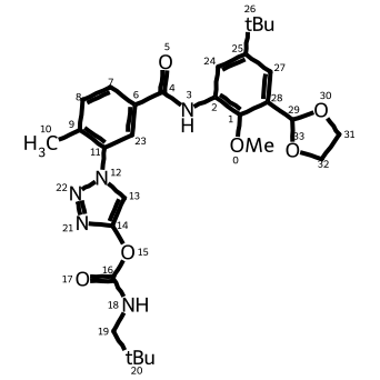 COc1c(NC(=O)c2ccc(C)c(-n3cc(OC(=O)NCC(C)(C)C)nn3)c2)cc(C(C)(C)C)cc1C1OCCO1